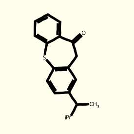 CC(C)C(C)c1ccc2c(c1)CC(=O)c1ccccc1S2